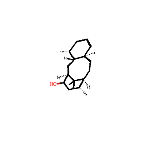 C[C@@H]1CCC[C@@]2(C)CC[C@H]3[C@H](C)CC(O)[C@@H](C[C@H]12)C3(C)C